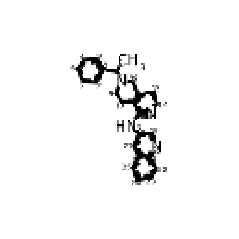 CC(c1ccccc1)N1CCc2c(ccnc2Nc2cnc3ccccc3c2)C1